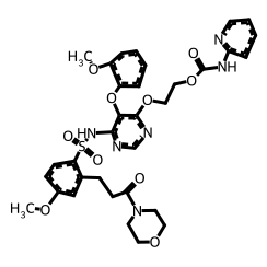 COc1ccc(S(=O)(=O)Nc2ncnc(OCCOC(=O)Nc3ccccn3)c2Oc2ccccc2OC)c(CCC(=O)N2CCOCC2)c1